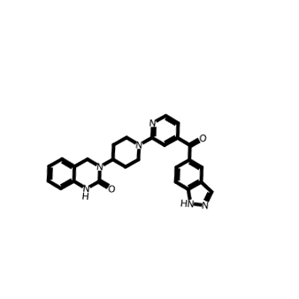 O=C(c1ccnc(N2CCC(N3Cc4ccccc4NC3=O)CC2)c1)c1ccc2[nH]ncc2c1